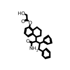 NC(=O)C(C(Cc1ccccc1)c1ccccc1)C1CCCc2c(OC(=O)CO)cccc21